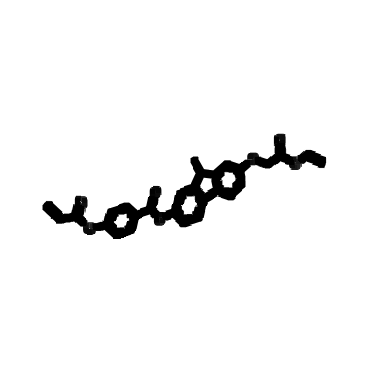 C=COC(=O)COc1ccc2c(c1)C(C)c1cc(OC(=O)c3ccc(OC(=O)C=C)cc3)ccc1-2